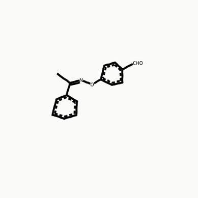 CC(=NOc1ccc(C=O)cc1)c1ccccc1